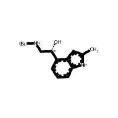 Cc1cc2c([C@@H](O)CNC(C)(C)C)cccc2[nH]1